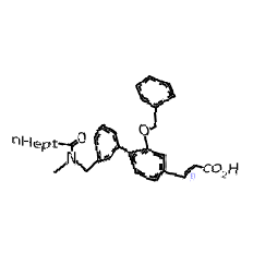 CCCCCCCC(=O)N(C)Cc1cccc(-c2ccc(/C=C/C(=O)O)cc2OCc2ccccc2)c1